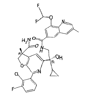 Cc1cnc2c(OC(F)F)cc(C(=O)NC[C@](O)(c3cc4c(c(-c5cccc(F)c5Cl)n3)OC[C@]4(C)C(N)=O)C3CC3)cc2c1